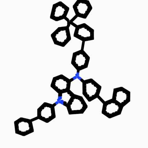 c1ccc(-c2ccc(-n3c4ccccc4c4c(N(c5ccc(-c6cccc([Si](c7ccccc7)(c7ccccc7)c7ccccc7)c6)cc5)c5ccc(-c6cccc7ccccc67)cc5)cccc43)cc2)cc1